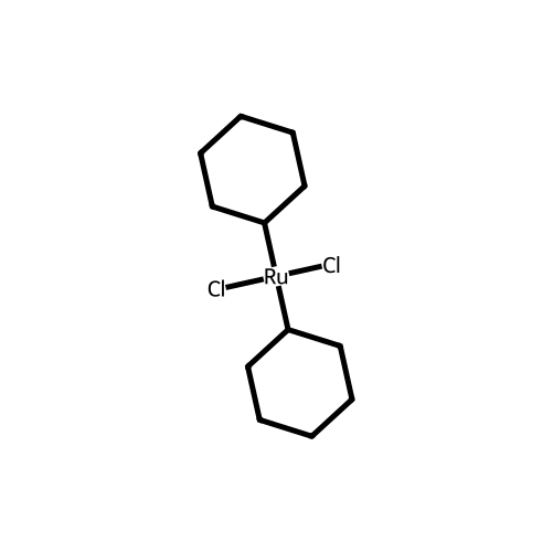 [Cl][Ru]([Cl])([CH]1CCCCC1)[CH]1CCCCC1